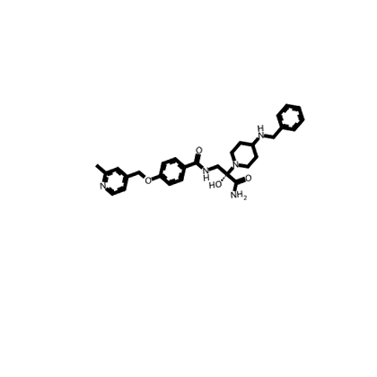 Cc1cc(COc2ccc(C(=O)NC[C@](O)(C(N)=O)N3CCC(NCc4ccccc4)CC3)cc2)ccn1